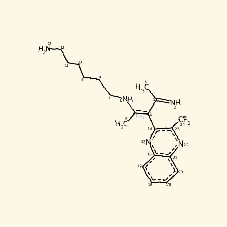 CC(=N)/C(=C(/C)NCCCCCCN)c1nc2ccccc2nc1C(F)(F)F